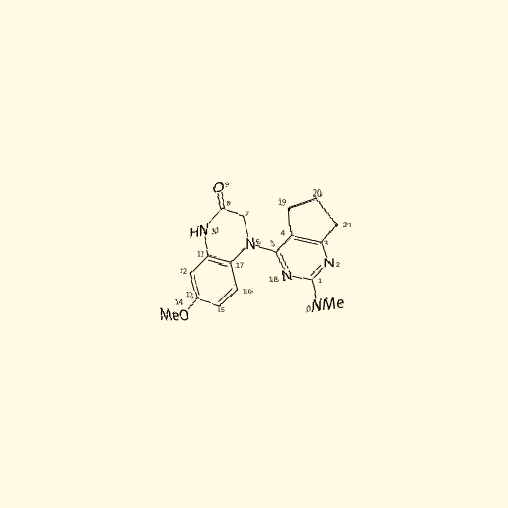 CNc1nc2c(c(N3CC(=O)Nc4cc(OC)ccc43)n1)CCC2